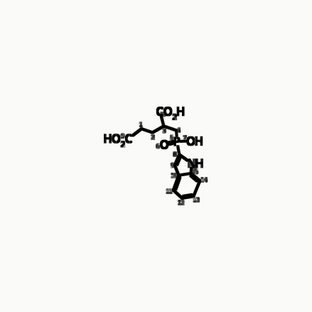 O=C(O)CCC(CP(=O)(O)c1cc2ccccc2[nH]1)C(=O)O